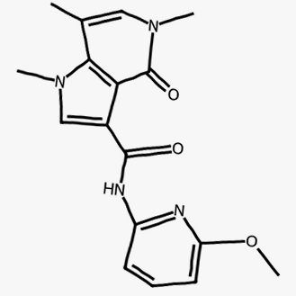 COc1cccc(NC(=O)c2cn(C)c3c(C)cn(C)c(=O)c23)n1